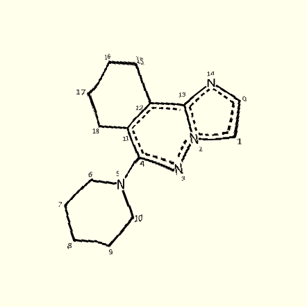 c1cn2nc(N3CCCCC3)c3c(c2n1)CCCC3